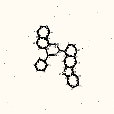 c1ccc(C2=NC(c3cccc4cc5c(cc34)sc3ccccc35)Nc3c2ccc2ccccc32)cc1